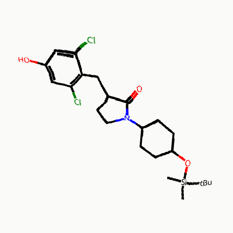 CC(C)(C)[Si](C)(C)OC1CCC(N2CCC(Cc3c(Cl)cc(O)cc3Cl)C2=O)CC1